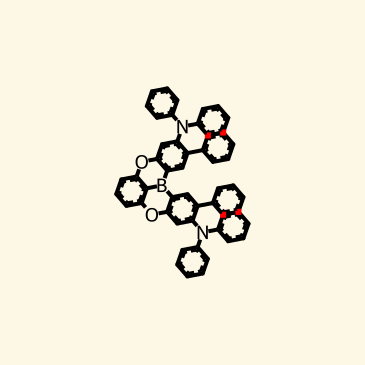 c1ccc(-c2cc3c(cc2N(c2ccccc2)c2ccccc2)Oc2cccc4c2B3c2cc(-c3ccccc3)c(N(c3ccccc3)c3ccccc3)cc2O4)cc1